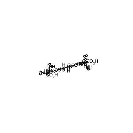 Cc1ccnc(NCCCC(=O)N[C@@H](COCCOCCOCCOCCOC(=O)NCCCCNC(=O)OCCOCCOCCOCCOC[C@H](NC(=O)CCCNc2ccccn2)C(=O)NC(CC(=O)O)c2ccc(-c3cccc4ccccc34)cc2)C(=O)NC(CC(=O)O)c2ccc(-c3cccc4ccccc34)cc2)c1